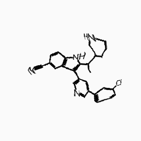 CC(c1[nH]c2ccc(C#N)cc2c1-c1cncc(-c2cccc(Cl)c2)c1)C1CCCNC1